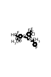 CC(CN(CCCOc1cc(F)c(CO)c(S(C)(=O)=O)c1)Cc1cccc(C(F)(F)F)c1Cl)c1ccc(F)cc1